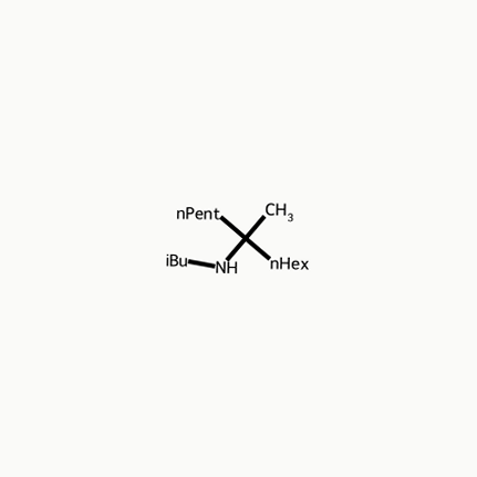 CCCCCCC(C)(CCCCC)NC(C)CC